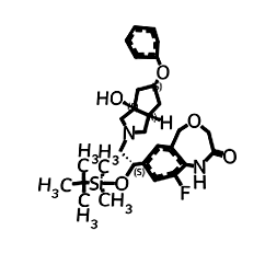 CC(C)(C)[Si](C)(C)O[C@H](CN1C[C@H]2C[C@H](Oc3ccccc3)C[C@@]2(O)C1)c1cc(F)c2c(c1)COCC(=O)N2